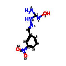 NC(=NO)N/N=C/c1cccc([N+](=O)[O-])c1